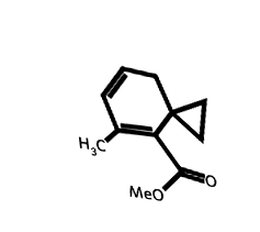 COC(=O)C1=C(C)C=CCC12CC2